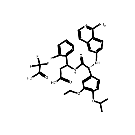 CCOc1cc([C@@H](Nc2ccc3c(N)nccc3c2)C(=O)NC(CC(=O)O)c2ccccc2F)ccc1OC(C)C.O=C(O)C(F)(F)F